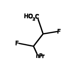 CCCC(F)C(F)C(=O)O